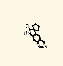 O=C1Nc2cc3ncncc3cc2C12CCCC2